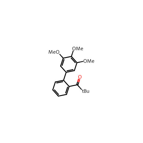 COc1cc(-c2ccccc2C(=O)C(C)(C)C)cc(OC)c1OC